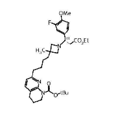 CCOC(=O)C[C@@H](c1ccc(OC)c(F)c1)N1CC(C)(CCCCc2ccc3c(n2)N(C(=O)OC(C)(C)C)CCC3)C1